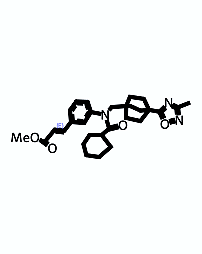 COC(=O)/C=C/c1cccc(N(CC23CCC(c4nc(C)no4)(CC2)CC3)C(=O)C2CCCCC2)c1